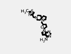 Cc1nc(CN2CCC3(CCCN3CC3CCC(n4ccc5c(N)ncnc54)O3)CC2)cs1